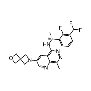 Cc1nnc(N[C@H](C)c2cccc(C(F)F)c2F)c2cc(N3CC4(COC4)C3)cnc12